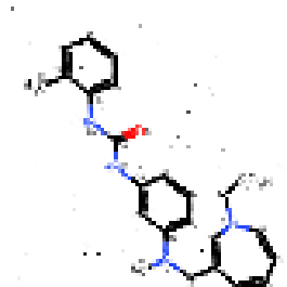 CC(=O)N(CC1=CN(CC(=O)O)C=CC=C1)c1cccc(NC(=O)Nc2ccccc2C)c1